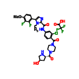 COc1ccc(-c2cnc(C(=O)Nc3ccc(C(=O)N4CCN(C(=O)[C@@H]5C[C@@H](O)CN5)CC4)c(Cl)c3)n2C)c(F)c1F.O=C(O)C(F)(F)F